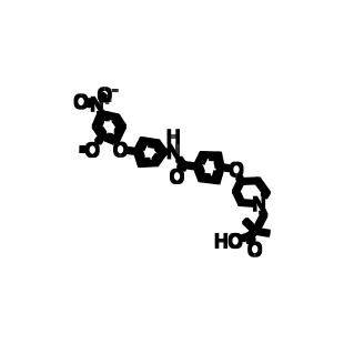 COc1cc([N+](=O)[O-])ccc1Oc1ccc(NC(=O)c2ccc(OC3CCN(CC(C)(C)C(=O)O)CC3)cc2)cc1